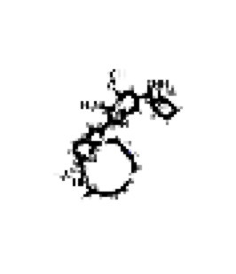 COc1cc(C(=O)N2[C@H]3CC[C@@H]2[C@H](N)C3)cc2nc(-c3cc4ccc5nc4n3C/C=C\CCCCCC(=O)N[C@@H]5C)c(C)n12